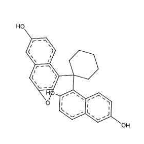 Oc1ccc2c(C3(c4c5c(cc6cc(O)ccc46)O5)CCCCC3)c(O)ccc2c1